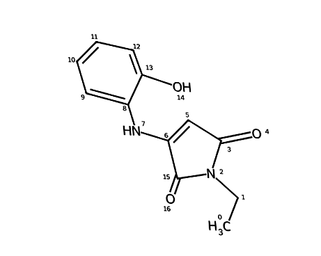 CCN1C(=O)C=C(Nc2ccccc2O)C1=O